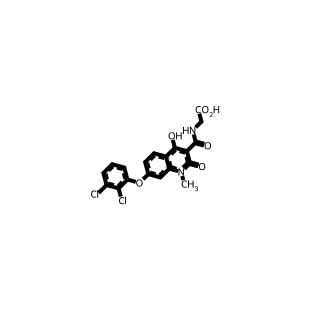 Cn1c(=O)c(C(=O)NCC(=O)O)c(O)c2ccc(Oc3cccc(Cl)c3Cl)cc21